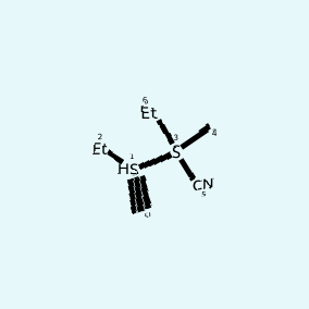 C#[SH](CC)S(C)(C#N)CC